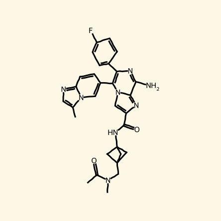 CC(=O)N(C)CC12CC(NC(=O)c3cn4c(-c5ccc6ncc(C)n6c5)c(-c5ccc(F)cc5)nc(N)c4n3)(C1)C2